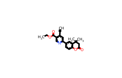 C#Cc1cc(-c2ccc3c(c2)C(C)(C)CC(=O)O3)ncc1C(=O)OCC